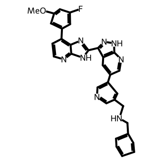 COc1cc(F)cc(-c2ccnc3[nH]c(-c4n[nH]c5ncc(-c6cncc(CNCc7ccccc7)c6)cc45)nc23)c1